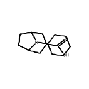 O=C(O)C1CC2CCC(C1)N2C1CCCCC1